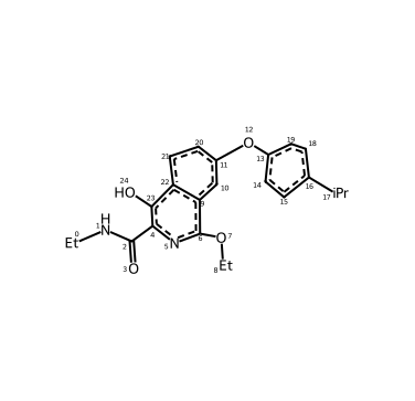 CCNC(=O)c1nc(OCC)c2cc(Oc3ccc(C(C)C)cc3)ccc2c1O